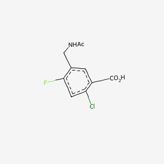 CC(=O)NCc1cc(C(=O)O)c(Cl)cc1F